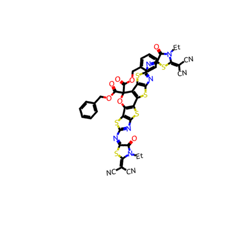 CCN1C(=O)/C(=N/c2nc3sc4c(c3s2)C(C(=O)OCc2ccccc2)(C(=O)OCc2ccccc2)Oc2c-4sc3nc(/N=C4/SC(=C(C#N)C#N)N(CC)C4=O)sc23)SC1=C(C#N)C#N